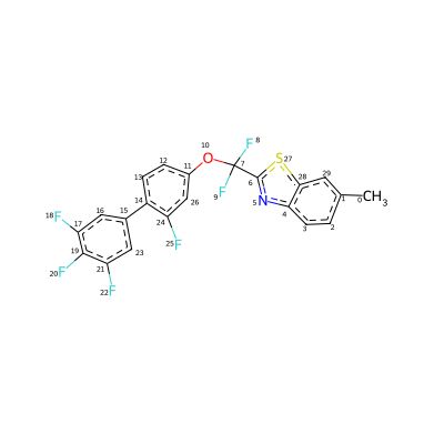 Cc1ccc2nc(C(F)(F)Oc3ccc(-c4cc(F)c(F)c(F)c4)c(F)c3)sc2c1